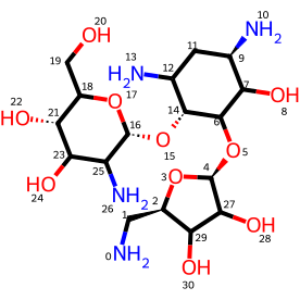 NC[C@H]1O[C@@H](OC2C(O)[C@H](N)CC(N)[C@H]2O[C@H]2OC(CO)[C@@H](O)C(O)C2N)C(O)C1O